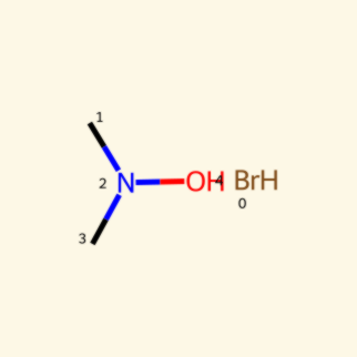 Br.CN(C)O